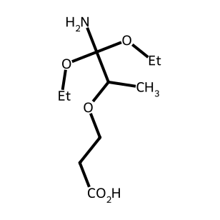 CCOC(N)(OCC)C(C)OCCC(=O)O